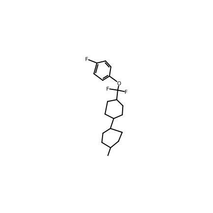 CC1CCC(C2CCC(C(F)(F)Oc3ccc(F)cc3)CC2)CC1